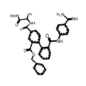 CNC(=O)C(NC(=O)c1ccc(-c2ccccc2C(=O)Nc2ccc(C(=N)N)cc2)c(C(=O)OCc2ccccc2)c1)C(C)C